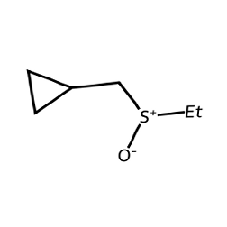 CC[S+]([O-])CC1CC1